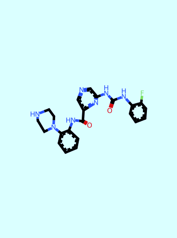 O=C(Nc1cncc(C(=O)Nc2ccccc2N2CCNCC2)n1)Nc1ccccc1F